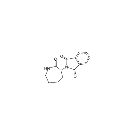 O=C1NCCCCC1N1C(=O)c2ccccc2C1=O